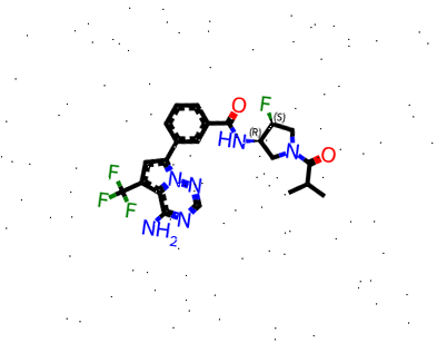 CC(C)C(=O)N1C[C@H](F)[C@H](NC(=O)c2cccc(-c3cc(C(F)(F)F)c4c(N)ncnn34)c2)C1